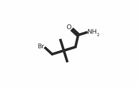 CC(C)(CBr)CC(N)=O